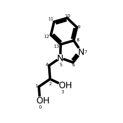 OCC(O)Cn1cnc2ccccc21